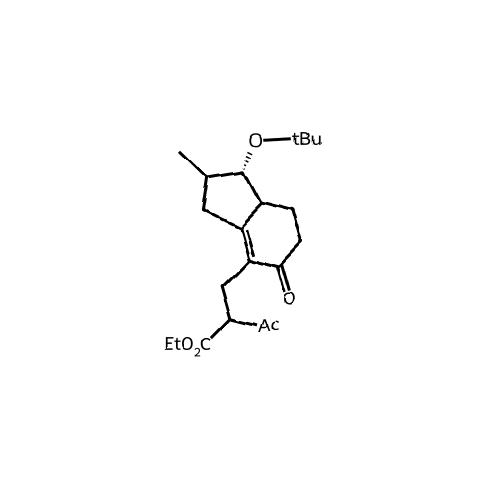 CCOC(=O)C(CC1=C2CC(C)[C@H](OC(C)(C)C)C2CCC1=O)C(C)=O